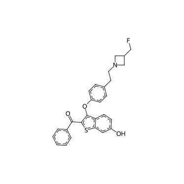 O=C(c1ccccc1)c1sc2cc(O)ccc2c1Oc1ccc(CCN2CC(CF)C2)cc1